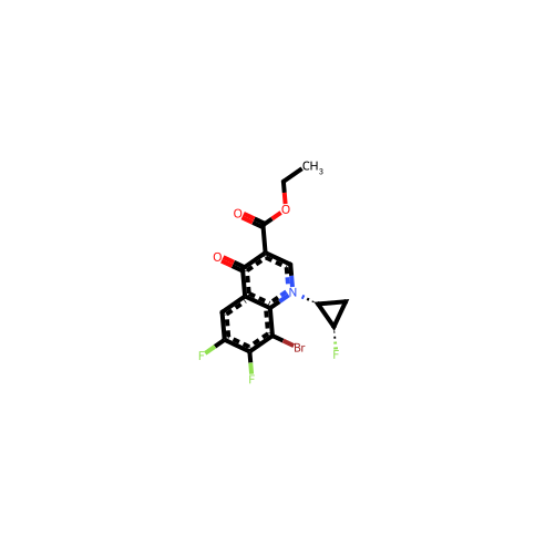 CCOC(=O)c1cn([C@@H]2C[C@@H]2F)c2c(Br)c(F)c(F)cc2c1=O